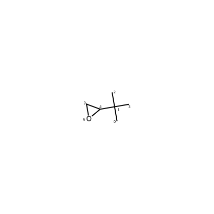 CC(C)(C)C1[CH]O1